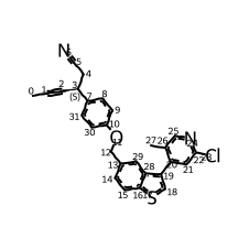 CC#C[C@@H](CC#N)c1ccc(OCc2ccc3scc(-c4cc(Cl)ncc4C)c3c2)cc1